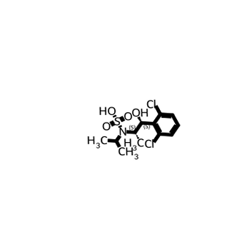 CC(C)N([C@@H](C)[C@@H](O)c1c(Cl)cccc1Cl)S(=O)(=O)O